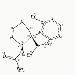 CCC(O)[C@]1(c2ccccc2Cl)CCCC[C@@H]1OC(N)=O